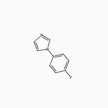 Fc1c[c]c(-n2ccnc2)cc1